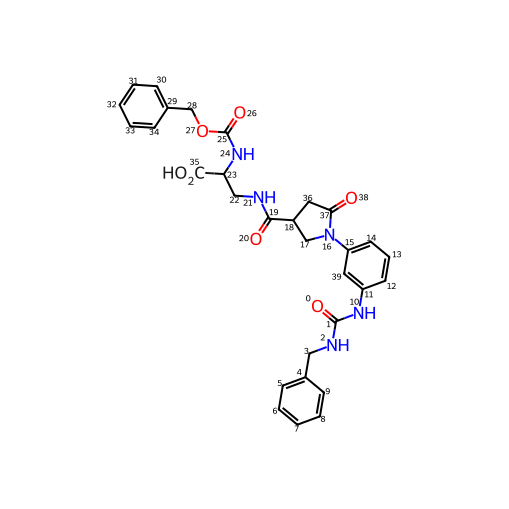 O=C(NCc1ccccc1)Nc1cccc(N2CC(C(=O)NCC(NC(=O)OCc3ccccc3)C(=O)O)CC2=O)c1